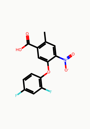 Cc1cc([N+](=O)[O-])c(Oc2ccc(F)cc2F)cc1C(=O)O